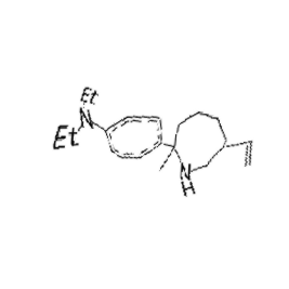 C=CC1CCCC(C)(c2ccc(N(CC)CC)cc2)NC1